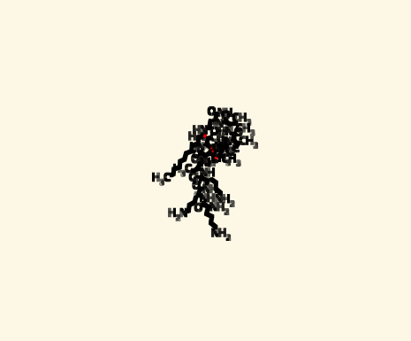 CCCCCCCCCCCCNC(=O)C[C@H](NC(=O)[C@@H](NC(=O)[C@@H](NC(=O)[C@@H](NC(=O)[C@@H](NC(=O)[C@@H](NC(=O)[C@@H](NC(=O)[C@H](CCCCN)NC(=O)[C@H](CCCCN)NC(=O)[C@@H](N)CCCCN)C(C)C)C(C)C)C(C)C)C(C)C)C(C)C)C(C)C)C(N)=O